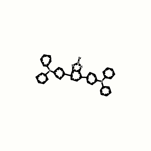 Brn1nc2c(-c3ccc(N(c4ccccc4)c4ccccc4)cc3)ccc(-c3ccc(N(c4ccccc4)c4ccccc4)cc3)c2n1